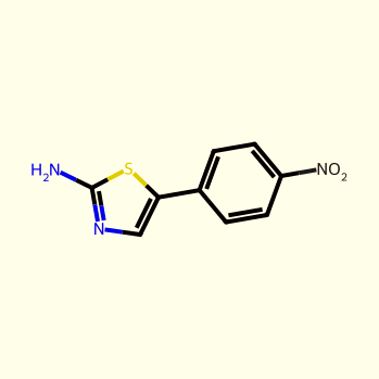 Nc1ncc(-c2ccc([N+](=O)[O-])cc2)s1